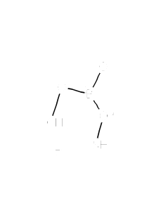 COB([O-])OS.[Li+]